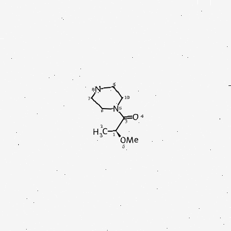 CO[C@@H](C)C(=O)N1CC[N]CC1